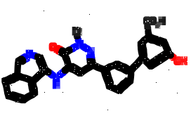 CCn1nc(-c2cccc(-c3cc(O)cc(C(=O)O)c3)c2)cc(Nc2cncc3ccccc23)c1=O